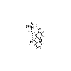 CC(N)(c1ccccc1)c1c(Cl)ccc2c1CCN(C(=O)C(F)(F)F)CC2